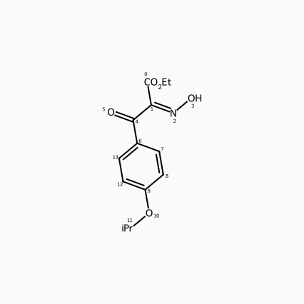 CCOC(=O)C(=NO)C(=O)c1ccc(OC(C)C)cc1